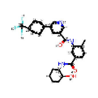 Cc1ccc(C(=O)N[C@H]2CCCC[C@@H]2O)cc1NC(=O)c1cncc(-c2ccc(C(F)(F)F)cc2)c1